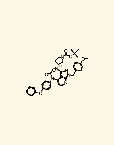 COc1ccc(Cn2nc3c4c(ccnc42)N(c2ccc(Oc4ccccc4)cc2)C(=O)CN3[C@@H]2CCN(C(=O)OC(C)(C)C)C2)cc1